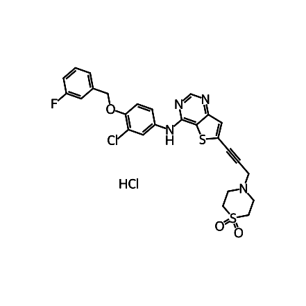 Cl.O=S1(=O)CCN(CC#Cc2cc3ncnc(Nc4ccc(OCc5cccc(F)c5)c(Cl)c4)c3s2)CC1